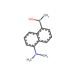 CB(O)c1cccc2c(N(C)C)cccc12